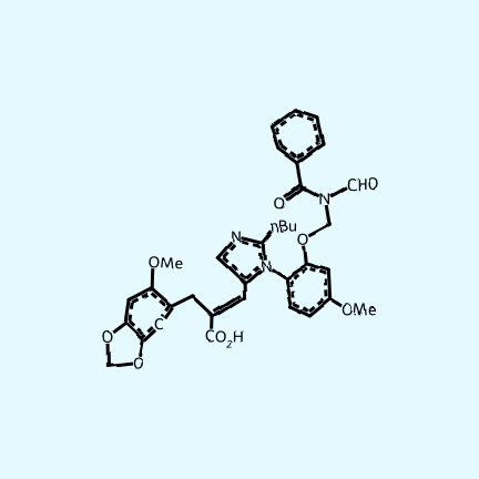 CCCCc1ncc(/C=C(\Cc2cc3c(cc2OC)OCO3)C(=O)O)n1-c1ccc(OC)cc1OCN(C=O)C(=O)c1ccccc1